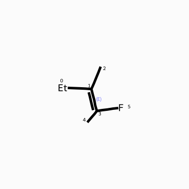 CC/C(C)=C(\C)F